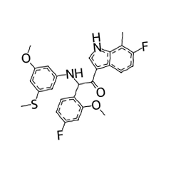 COc1cc(NC(C(=O)c2c[nH]c3c(C)c(F)ccc23)c2ccc(F)cc2OC)cc(SC)c1